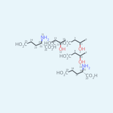 CC(O)CC(=O)O.CC(O)CC(=O)O.CC(O)CC(=O)O.N[C@@H](CCC(=O)O)C(=O)O.N[C@@H](CCC(=O)O)C(=O)O